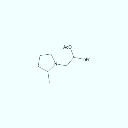 CCCC(CN1CCCC1C)OC(C)=O